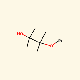 CC(C)OC(C)(C)C(C)(C)O